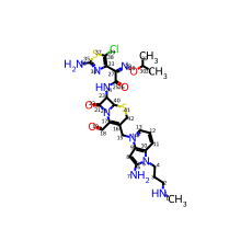 CNCCCn1c(N)cc2c1ccc[n+]2CC1=C(C=O)N2C(=O)C(NC(=O)/C(=N\OC(C)C)c3nc(N)sc3Cl)C2SC1